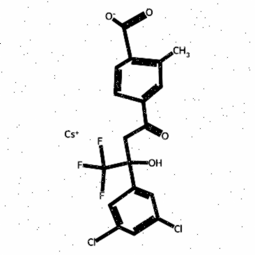 Cc1cc(C(=O)CC(O)(c2cc(Cl)cc(Cl)c2)C(F)(F)F)ccc1C(=O)[O-].[Cs+]